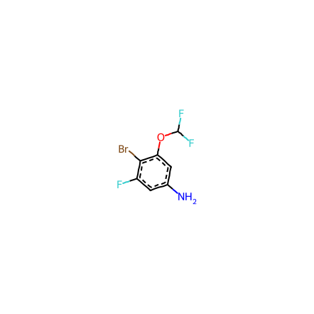 Nc1cc(F)c(Br)c(OC(F)F)c1